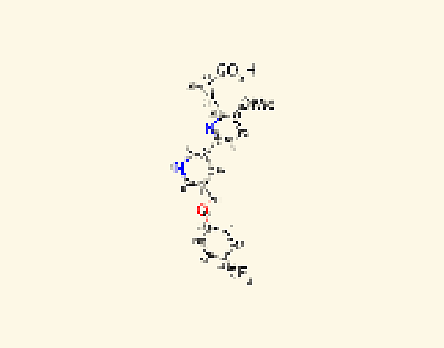 COc1ccc(-c2cncc(COc3ccc(C(F)(F)F)cc3)c2)nc1C1CC1C(=O)O